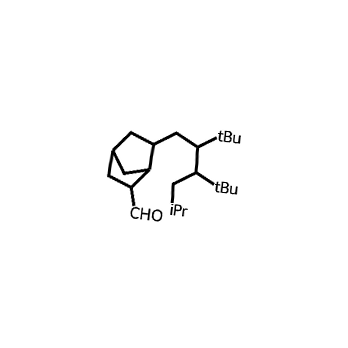 CC(C)CC(C(CC1CC2CC(C=O)C1C2)C(C)(C)C)C(C)(C)C